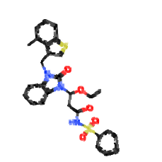 CCOC(CC(=O)NS(=O)(=O)c1ccccc1)n1c(=O)n(Cc2csc3cccc(C)c23)c2ccccc21